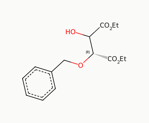 CCOC(=O)C(O)[C@@H](OCc1ccccc1)C(=O)OCC